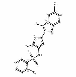 Cc1c(-c2cc(NS(=O)(=O)c3ccccc3Cl)n(C)n2)sc2ccc(Cl)cc12